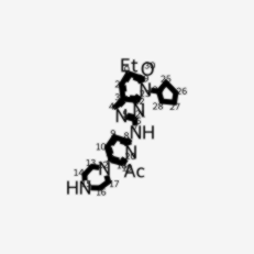 CCc1cc2cnc(Nc3ccc(N4CCNCC4)c(C(C)=O)n3)nc2n(C2CCCC2)c1=O